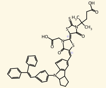 CC(C)(CCC(=O)O)N1C(=O)/C(=c2\s/c(=C/c3ccc4c(c3)C3CCCC3N4c3ccc(C=C(c4ccccc4)c4ccccc4)cc3)c(=O)n2CC(=O)O)SC1=S